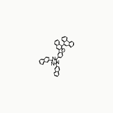 c1ccc2cc(-c3nc(-c4ccc5ccccc5c4)nc(-c4ccc5oc6c(-c7cc8ccccc8c8ccccc78)c7ccccc7cc6c5c4)n3)ccc2c1